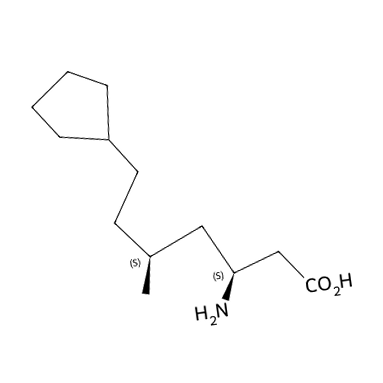 C[C@@H](CCC1CCCC1)C[C@H](N)CC(=O)O